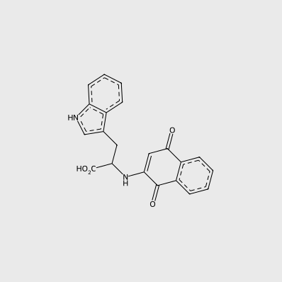 O=C1C=C(NC(Cc2c[nH]c3ccccc23)C(=O)O)C(=O)c2ccccc21